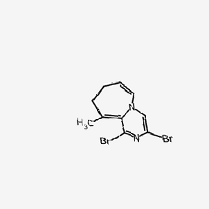 CC1=C2C(Br)=NC(Br)=CN2C=CCC1